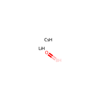 B=O.[CsH].[LiH]